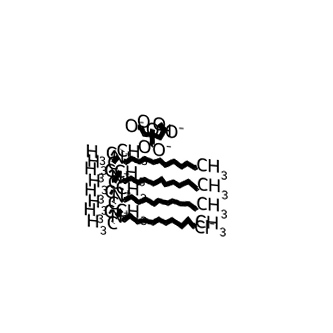 CCCCCCCCCCCC[N+](C)(C)C.CCCCCCCCCCCC[N+](C)(C)C.CCCCCCCCCCCC[N+](C)(C)C.CCCCCCCCCCCC[N+](C)(C)C.O=C([O-])CC(O)(CC(=O)[O-])C(=O)[O-].[Cl-]